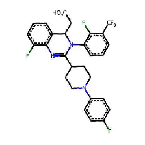 O=C(O)CC1c2cccc(F)c2N=C(C2CCN(c3ccc(F)cc3)CC2)N1c1cccc(C(F)(F)F)c1F